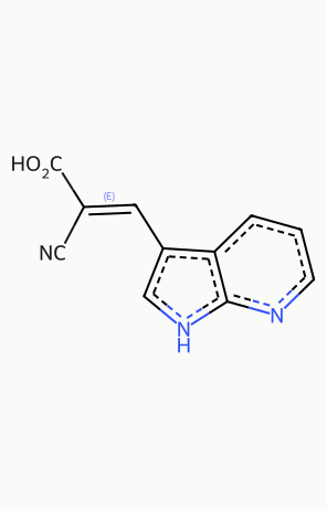 N#C/C(=C\c1c[nH]c2ncccc12)C(=O)O